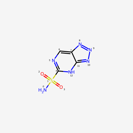 NS(=O)(=O)c1ncc2nnnc-2[nH]1